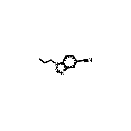 CCCn1nnc2cc(C#N)ccc21